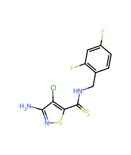 Nc1nsc(C(=S)NCc2ccc(F)cc2F)c1Cl